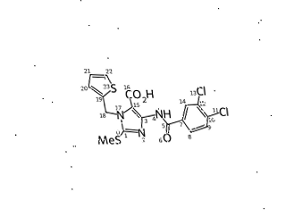 CSc1nc(NC(=O)c2ccc(Cl)c(Cl)c2)c(C(=O)O)n1Cc1cccs1